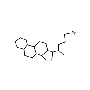 CC(C)CCCC(C)C1CCC2C1CCC1C3CCCCC3CCC12